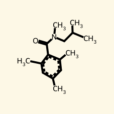 Cc1cc(C)c(C(=O)N(C)CC(C)C)c(C)c1